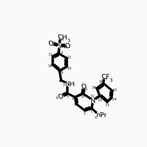 CCCc1ccc(C(=O)NCc2ccc(S(C)(=O)=O)cc2)c(=O)n1-c1cccc(C(F)(F)F)c1